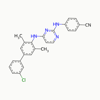 Cc1cc(-c2cccc(Cl)c2)cc(C)c1Nc1ccnc(Nc2ccc(C#N)cc2)n1